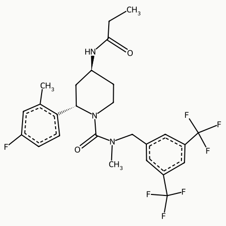 CCC(=O)N[C@H]1CCN(C(=O)N(C)Cc2cc(C(F)(F)F)cc(C(F)(F)F)c2)[C@H](c2ccc(F)cc2C)C1